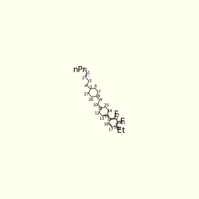 CCC/C=C/CCC1CCC(CCC2CC=C(c3ccc(CC)c(F)c3F)CC2)CC1